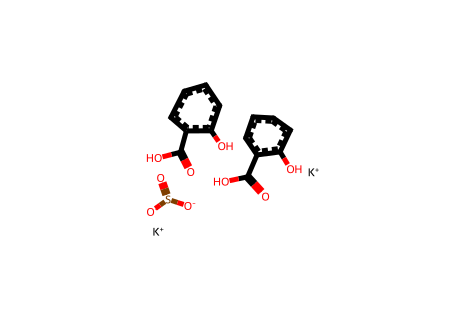 O=C(O)c1ccccc1O.O=C(O)c1ccccc1O.O=S([O-])[O-].[K+].[K+]